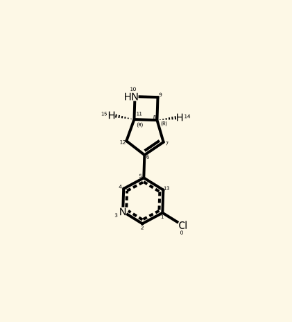 Clc1cncc(C2=C[C@@H]3CN[C@@H]3C2)c1